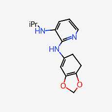 CC(C)Nc1cccnc1NC1=CC2=C(CC1)OCO2